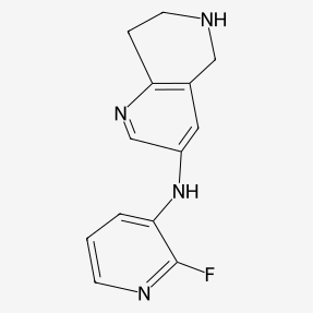 Fc1ncccc1Nc1cnc2c(c1)CNCC2